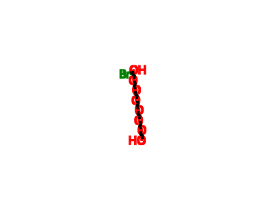 OCCOCCOCCOCCOCCOCCOCC(O)Br